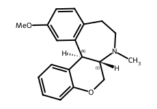 COc1ccc2c(c1)[C@@H]1c3ccccc3OC[C@H]1N(C)CC2